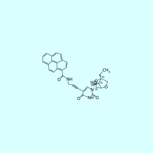 CC[C@]12COC([C@H](n3cc(C#CCNC(=O)c4ccc5ccc6cccc7ccc4c5c67)c(=O)[nH]c3=O)O1)[C@@H]2O